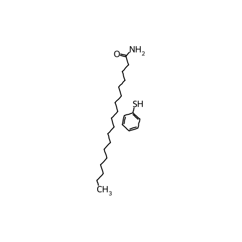 CCCCCCCCCCCCCCCCCC(N)=O.Sc1ccccc1